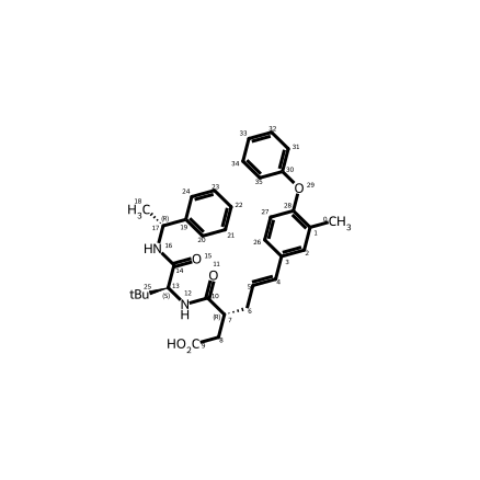 Cc1cc(C=CC[C@H](CC(=O)O)C(=O)N[C@H](C(=O)N[C@H](C)c2ccccc2)C(C)(C)C)ccc1Oc1ccccc1